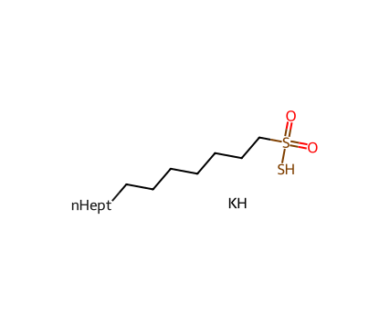 CCCCCCCCCCCCCCS(=O)(=O)S.[KH]